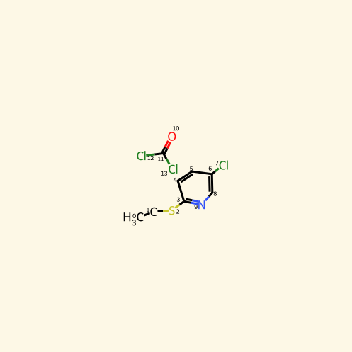 CCSc1ccc(Cl)cn1.O=C(Cl)Cl